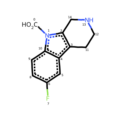 O=C(O)n1c2c(c3cc(F)ccc31)CCNC2